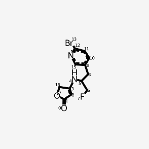 O=C1C=C(NC(CF)Cc2ccc(Br)nc2)CO1